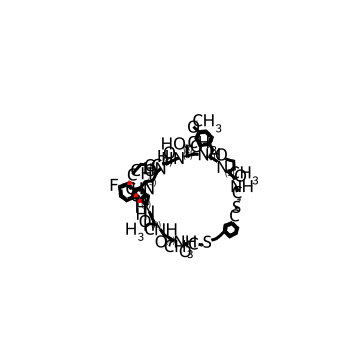 COc1ccc(C[C@@H]2NC(=O)[C@H]([C@@H](C)O)NC(=O)[C@@H]3CCCCCCCCC[C@H](NC(=O)[C@@H](C)NC(=O)[C@H](C)NC(=O)CCSCc4cccc(c4)CSCCNC(=O)[C@]4(C)CCCN4C2=O)C(=O)N[C@@H](Cc2c[nH]c4ccc(F)cc24)C(=O)N3)cc1